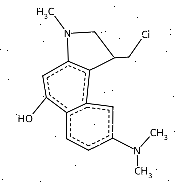 CN(C)c1ccc2c(O)cc3c(c2c1)C(CCl)CN3C